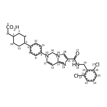 O=C(O)CC1CCC(c2ccc(N3C=CC4=NC(C(=O)NCc5c(Cl)cccc5Cl)=C[N+]4C3)cc2)CC1